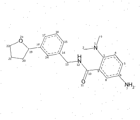 CN(C)c1ccc(N)cc1C(=O)NCc1cccc(C2CCCO2)c1